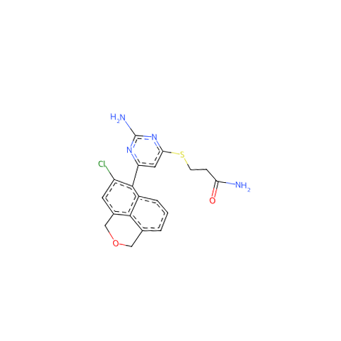 NC(=O)CCSc1cc(-c2c(Cl)cc3c4c(cccc24)COC3)nc(N)n1